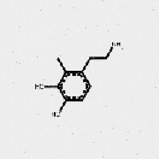 Cc1c(CCN)ccc(O)c1O